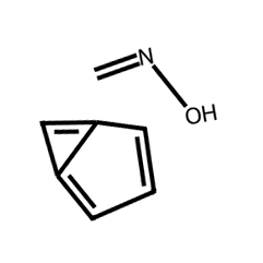 C=NO.c1cc2cc-2c1